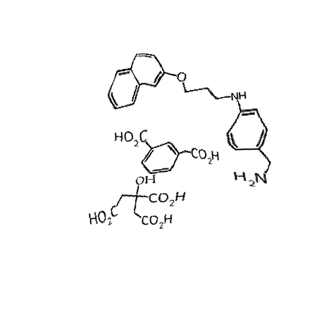 NCc1ccc(NCCCOc2ccc3ccccc3c2)cc1.O=C(O)CC(O)(CC(=O)O)C(=O)O.O=C(O)c1cccc(C(=O)O)c1